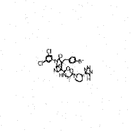 C[C@H](NC(=O)c1cnc2n1[C@](C)(Cc1ccc(Br)cc1)C(=O)N2c1cc(Cl)cc(Cl)c1)C(=O)N1CCC[C@@H](c2nnn[nH]2)C1